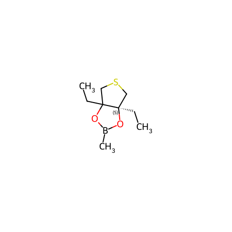 CCC12CSC[C@@]1(CC)OB(C)O2